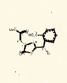 CC[C@@H](c1ccccc1C(=O)O)C1OC(=O)[C@H](CC(=O)OC)S1